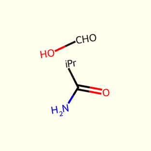 CC(C)C(N)=O.O=CO